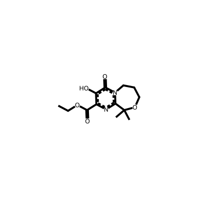 CCOC(=O)c1nc2n(c(=O)c1O)CCCOC2(C)C